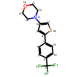 FC(F)(F)c1ccc(-c2cc(N3CCOCC3)cs2)cc1